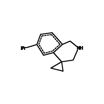 CC(C)c1ccc2c(c1)C1(CC1)CNC2